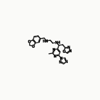 Cc1nc(C(Cc2nnco2)NCCNCc2ccc3c(c2)OCO3)cc(-n2cncn2)n1